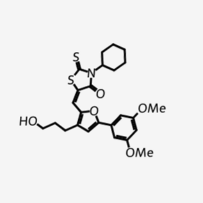 COc1cc(OC)cc(-c2cc(CCCO)c(/C=C3/SC(=S)N(C4CCCCC4)C3=O)o2)c1